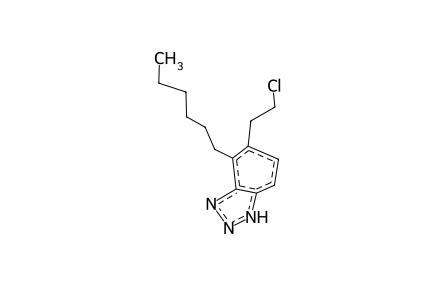 CCCCCCc1c(CCCl)ccc2[nH]nnc12